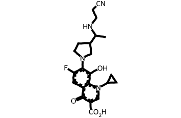 CC(NCCC#N)C1CCN(c2c(F)cc3c(=O)c(C(=O)O)cn(C4CC4)c3c2O)C1